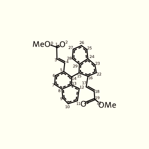 COC(=O)/C=C/c1ccc2ccccc2c1-c1c(/C=C/C(=O)OC)ccc2ccccc12